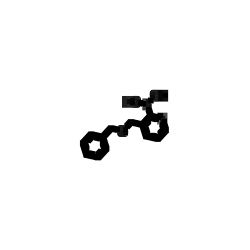 OB(O)c1ncccc1COCc1ccccc1